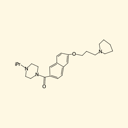 CC(C)N1CCN(C(=O)c2ccc3cc(OCCCN4CCCCC4)ccc3c2)CC1